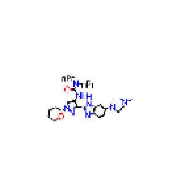 CCCN(CCC)C(=O)Nc1cn(C2CCCCO2)nc1-c1nc2ccc(N3CCN(C)CC3)cc2[nH]1